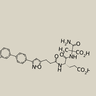 CC(NC(=O)[C@H](CCC(=O)O)NC(=O)CCc1cc(-c2ccc(-c3cccc(Cl)c3)cc2)no1)(C(N)=O)C(=O)O